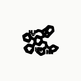 PCC1C2CC3CC(C2)CC1(c1cc(-c2ccccc2)c(-c2ccccc2)cc1CP(C1CCCN1)C1CCCN1)C3